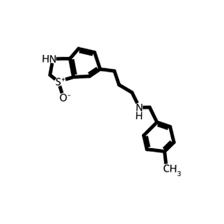 Cc1ccc(CNCCCc2ccc3c(c2)[S+]([O-])CN3)cc1